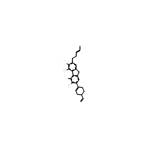 C=CC1CC=C(c2cc3c(c(F)c2F)-c2c(cc(CC/C=C/C)c(F)c2F)C3)CC1